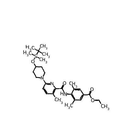 CCOC(=O)c1cc(C)c(NC(=O)c2nc(N3CCC(O[Si](C)(C)C(C)(C)C)CC3)ccc2C)c(C)c1